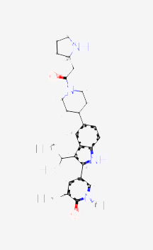 Cc1cc(-c2[nH]c3ccc(C4CCN(C(=O)C[C@H]5CCCN5)CC4)cc3c2C(C)C)cn(C)c1=O